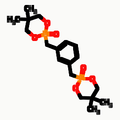 CC1(C)COP(=O)(Cc2cccc(CP3(=O)OCC(C)(C)CO3)c2)OC1